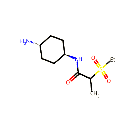 CCS(=O)(=O)C(C)C(=O)N[C@H]1CC[C@H](N)CC1